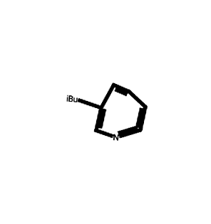 CCC(C)C1=CN=C=CC=C1